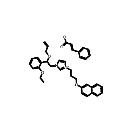 C=CCOC(Cn1cc[n+](CCCOc2ccc3ccccc3c2)c1)c1ccccc1OCC.O=C([O-])C=Cc1ccccc1